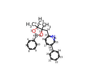 CC1(C)OB(c2ccccc2)OC1(C)Cc1ccc(-c2ccccc2)cn1